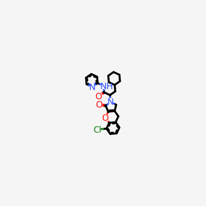 O=C(Nc1ccccn1)C(CC1CCCCC1)N1CC2=C(Oc3c(Cl)cccc3C2)C1=O